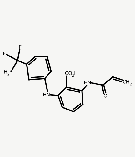 C=CC(=O)Nc1cccc(Nc2cccc(C(F)(F)P)c2)c1C(=O)O